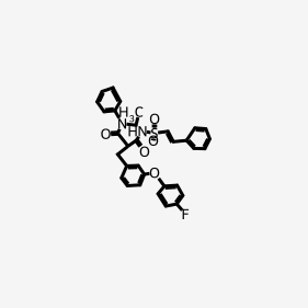 CCN(C(=O)C(Cc1cccc(Oc2ccc(F)cc2)c1)C(=O)NS(=O)(=O)C=Cc1ccccc1)c1ccccc1